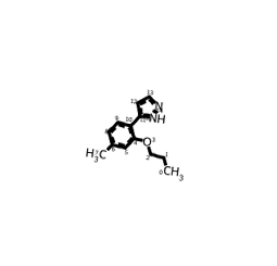 CCCOc1cc(C)ccc1-c1ccn[nH]1